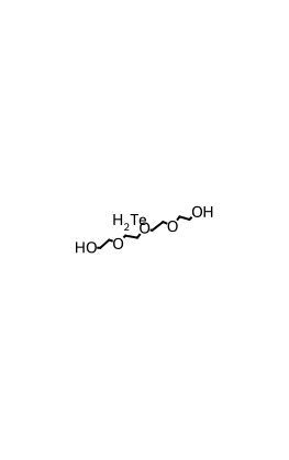 OCCOCCOCCOCCO.[TeH2]